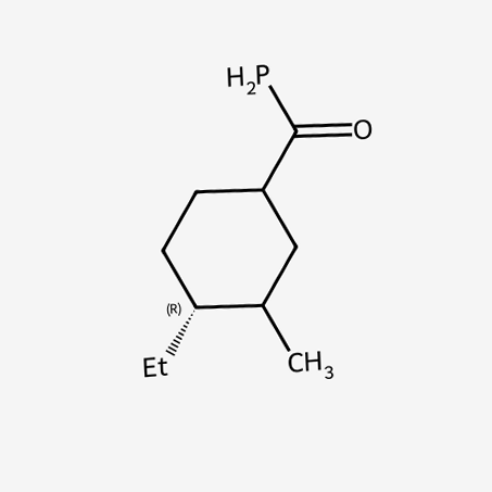 CC[C@@H]1CCC(C(=O)P)CC1C